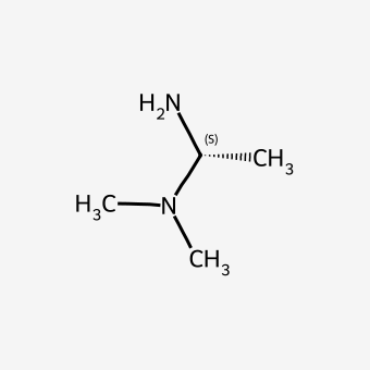 C[C@@H](N)N(C)C